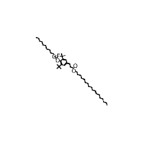 CCCCCCCCCCCCCCCCCCOC(=O)CCc1cc(C(C)(C)C)c(OP(F)OCCCCCCCCCC)c(C(C)(C)C)c1